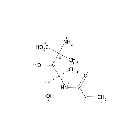 C=CC(=O)NC(C)(CO)C(=O)C(C)(N)C(=O)O